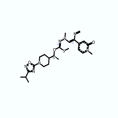 C=N/C(=C\N(C)/N=C(/O[C@@H](C)C1CCN(c2nc(C(C)C)no2)CC1)SC)c1ccn(C)c(=O)c1